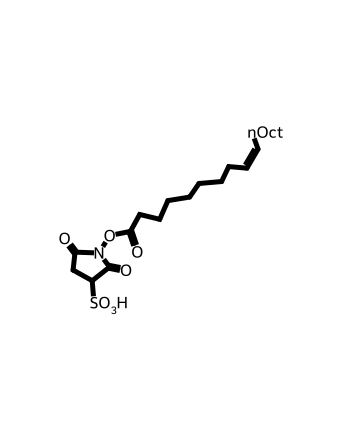 CCCCCCCC/C=C\CCCCCCCC(=O)ON1C(=O)CC(S(=O)(=O)O)C1=O